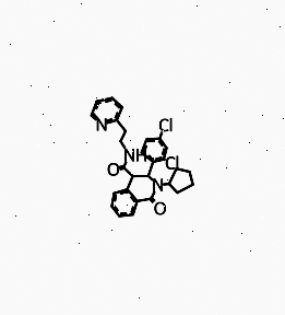 O=C(NCCc1ccccn1)C1c2ccccc2C(=O)N(C2CCCC2)C1c1ccc(Cl)cc1Cl